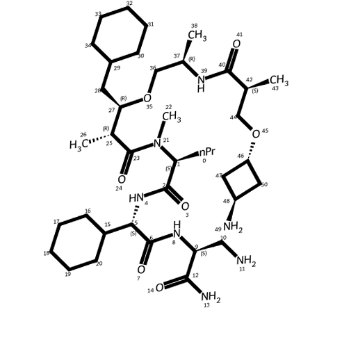 CCC[C@@H](C(=O)N[C@H](C(=O)N[C@@H](CN)C(N)=O)C1CCCCC1)N(C)C(=O)[C@H](C)[C@@H](CC1CCCCC1)OC[C@@H](C)NC(=O)[C@@H](C)CO[C@H]1C[C@H](N)C1